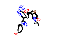 Cn1cc2c(-c3cc4c(-c5cnn([C@H]6CC[C@H](O)CC6)c5)cnc(N)c4o3)csc2cc1=O